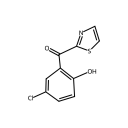 O=C(c1nccs1)c1cc(Cl)ccc1O